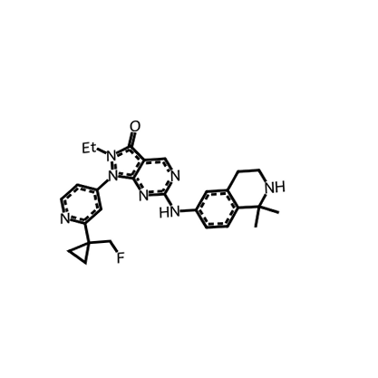 CCn1c(=O)c2cnc(Nc3ccc4c(c3)CCNC4(C)C)nc2n1-c1ccnc(C2(CF)CC2)c1